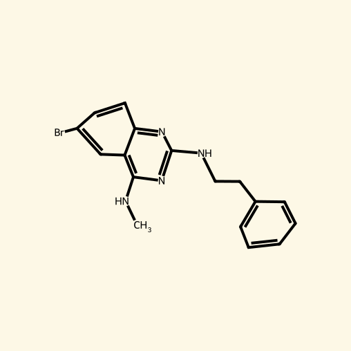 CNc1nc(NCCc2ccccc2)nc2ccc(Br)cc12